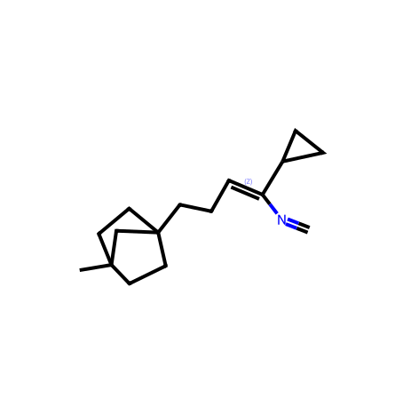 C=N/C(=C\CCC12CCC(C)(CC1)C2)C1CC1